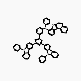 c1ccc(N(c2cccc(-c3cc(-c4ccc5c(c4)c4ccccc4n5-c4ccccc4)cc(-c4ccc5c6ccccc6n(-c6ccccc6)c5c4)c3)c2)c2cccc3c2sc2ccc4ccccc4c23)cc1